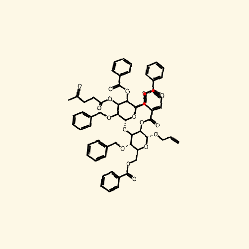 C=CCO[C@@H]1OC(COC(=O)c2ccccc2)[C@H](OCc2ccccc2)C(O[C@H]2OC(COC(=O)c3ccccc3)[C@H](OC(=O)c3ccccc3)C(OC(=O)CCC(C)=O)C2OCc2ccccc2)C1OC(=O)c1ccccc1